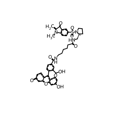 C=C1C(=O)c2cc(S(=O)(=O)N3CCC[C@H]3CNC(=O)CCCCCNC(=O)c3ccc(-c4c5ccc(=O)cc-5oc5cc(O)ccc45)c(C(=O)O)c3)ccc2N1C